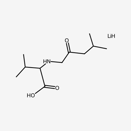 CC(C)CC(=O)CNC(C(=O)O)C(C)C.[LiH]